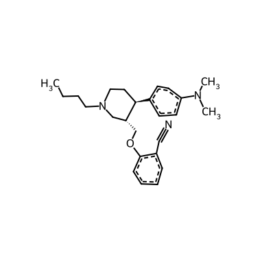 CCCCN1CC[C@@H](c2ccc(N(C)C)cc2)[C@H](COc2ccccc2C#N)C1